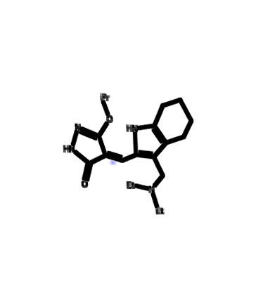 CCN(CC)Cc1c(/C=C2/C(=O)NN=C2OC(C)C)[nH]c2c1CCCC2